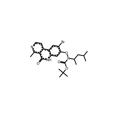 Cc1nccc2c1c(=O)[nH]c1cc(ON(C(=O)OC(C)(C)C)C(C)CC(C)C)c(Br)cc12